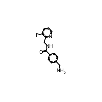 NCc1ccc(C(=O)NCc2ncccc2F)cc1